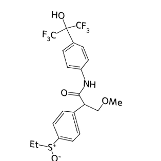 CC[S+]([O-])c1ccc(C(COC)C(=O)Nc2ccc(C(O)(C(F)(F)F)C(F)(F)F)cc2)cc1